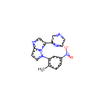 Cc1ccc([N+](=O)[O-])cc1-n1ccc2ncc(-c3cnccn3)n21